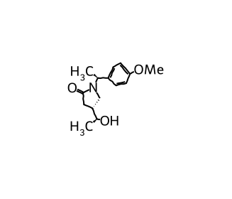 COc1ccc([C@H](C)N2C[C@H]([C@H](C)O)CC2=O)cc1